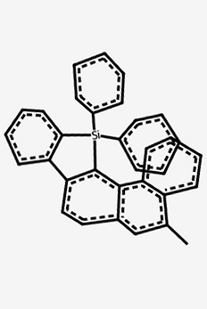 Cc1cc2ccc3c(c2c2ccccc12)[Si](c1ccccc1)(c1ccccc1)c1ccccc1-3